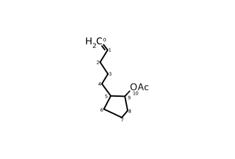 C=CCCCC1CCCC1OC(C)=O